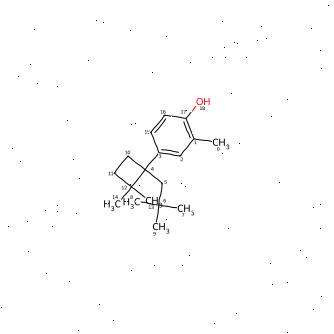 Cc1cc(C2(CC(C)(C)C)CCC2(C)C)ccc1O